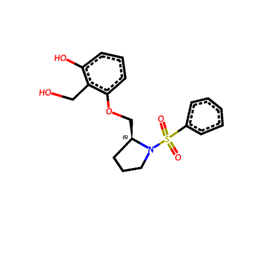 O=S(=O)(c1ccccc1)N1CCC[C@H]1COc1cccc(O)c1CO